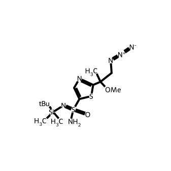 COC(C)(CN=[N+]=[N-])c1ncc(S(N)(=O)=N[Si](C)(C)C(C)(C)C)s1